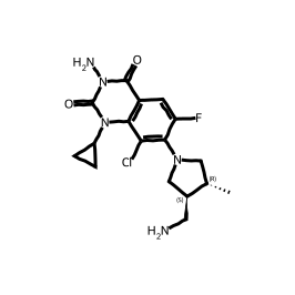 C[C@H]1CN(c2c(F)cc3c(=O)n(N)c(=O)n(C4CC4)c3c2Cl)C[C@@H]1CN